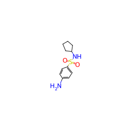 Nc1ccc(S(=O)(=O)NC2CCCC2)cc1